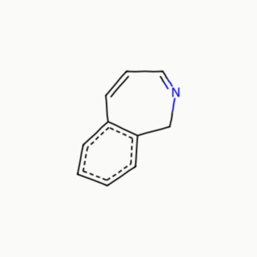 C1=Cc2ccccc2CN=C1